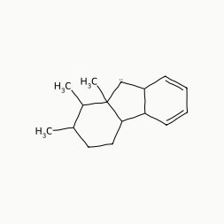 CC1CCC2C3C=CC=CC3[C]C2(C)C1C